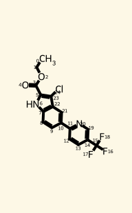 CCOC(=O)c1[nH]c2ccc(-c3ccc(C(F)(F)F)cn3)cc2c1Cl